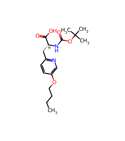 CCCCOc1ccc(C[C@@H](NC(=O)OC(C)(C)C)C(=O)O)nc1